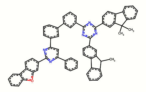 CC1c2ccccc2-c2ccc(-c3nc(-c4cccc(-c5cccc(-c6cc(-c7ccccc7)nc(-c7ccc8c(c7)oc7ccccc78)n6)c5)c4)nc(-c4ccc5c(c4)C(C)(C)c4ccccc4-5)n3)cc21